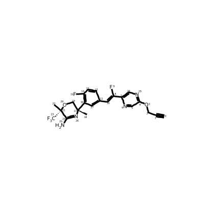 C#CCOc1cnc(/C(F)=C/c2ccc(F)c([C@@]3(C)CO[C@@](C)(C(F)(F)F)C(N)=N3)c2)cn1